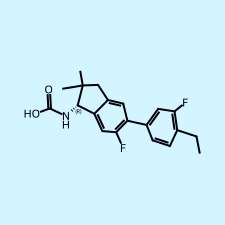 CCc1ccc(-c2cc3c(cc2F)[C@H](NC(=O)O)C(C)(C)C3)cc1F